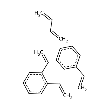 C=CC=C.C=Cc1ccccc1.C=Cc1ccccc1C=C